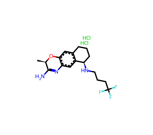 C[C@H]1Oc2cc3c(cc2N=C1N)[C@H](NCCCC(F)(F)F)CCC3.Cl.Cl